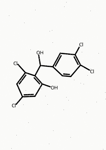 Oc1cc(Cl)cc(Cl)c1C(O)c1ccc(Cl)c(Cl)c1